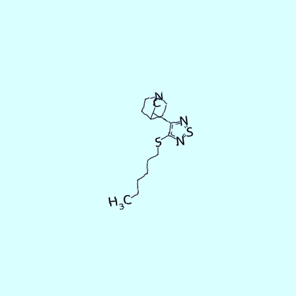 CCCCCCSc1nsnc1C1CN2CCC1CC2